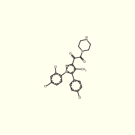 Cc1c(C(=O)C(=O)N2CCNCC2)nn(-c2ccc(Cl)cc2Cl)c1-c1ccc(Cl)cc1